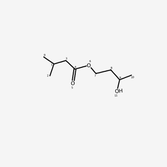 CC(C)CC(=O)OCCC(C)O